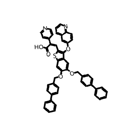 O=C(O)C(=Cc1sc2cc(OCc3ccc(-c4ccccc4)cc3)c(OCc3ccc(-c4ccccc4)cc3)cc2c1Oc1ccc2ncccc2c1)c1ccncc1